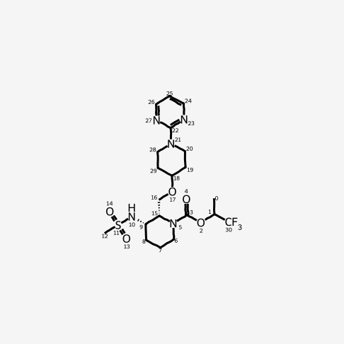 CC(OC(=O)N1CCC[C@H](NS(C)(=O)=O)[C@@H]1COC1CCN(c2ncccn2)CC1)C(F)(F)F